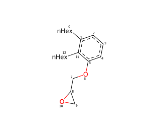 CCCCCCc1cccc(OCC2CO2)c1CCCCCC